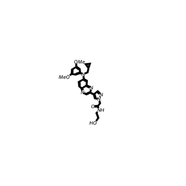 COc1cc(OC)cc(N(CC2CC2)c2ccc3ncc(-c4cnn(CC(=O)NCCO)c4)nc3c2)c1